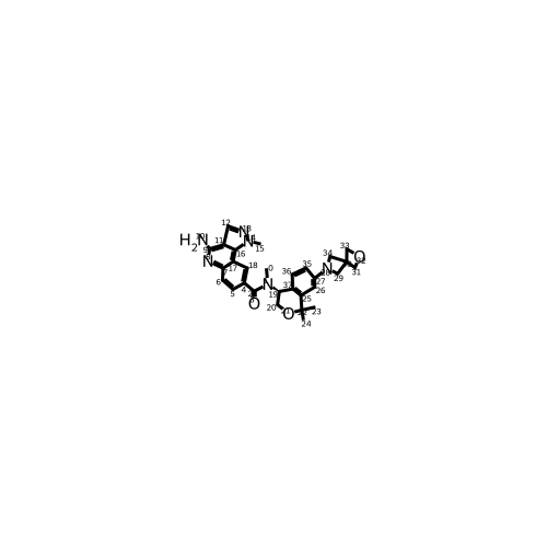 CN(C(=O)c1ccc2nc(N)c3cnn(C)c3c2c1)[C@@H]1COC(C)(C)c2cc(N3CC4(COC4)C3)ccc21